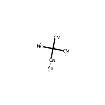 N#CC(C#N)(C#N)C#N.[Au]